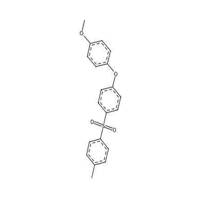 COc1ccc(Oc2ccc(S(=O)(=O)c3ccc(C)cc3)cc2)cc1